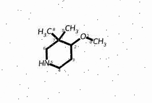 COC1CCNCC1(C)C